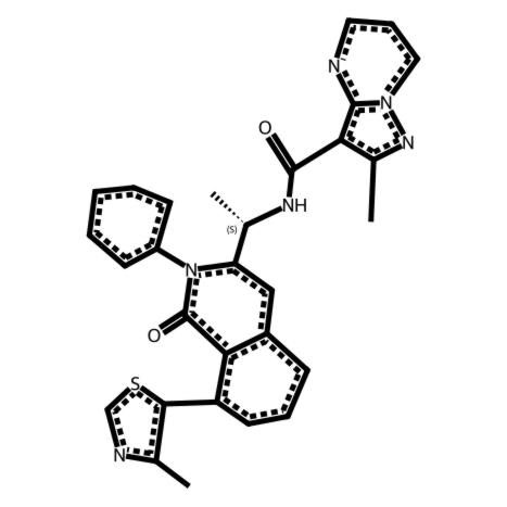 Cc1ncsc1-c1cccc2cc([C@H](C)NC(=O)c3c(C)nn4cccnc34)n(-c3ccccc3)c(=O)c12